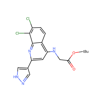 CC(C)(C)OC(=O)CNc1cc(-c2cn[nH]c2)nc2c(Cl)c(Cl)ccc12